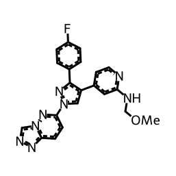 COCNc1cc(-c2cn(-c3ccc4nncn4n3)nc2-c2ccc(F)cc2)ccn1